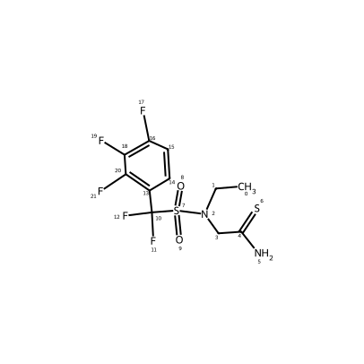 CCN(CC(N)=S)S(=O)(=O)C(F)(F)c1ccc(F)c(F)c1F